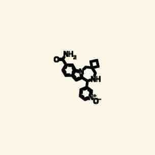 NC(=O)c1ccc2cc3n(c2c1)CC1(CCC1)CNC3c1ccc[n+]([O-])c1